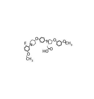 CCOc1ccc(F)c(N2CCC(Oc3ccc(N4C[C@H](Oc5cccc(OC)c5)C[C@@H]4CC(=O)O)cc3)CC2)c1